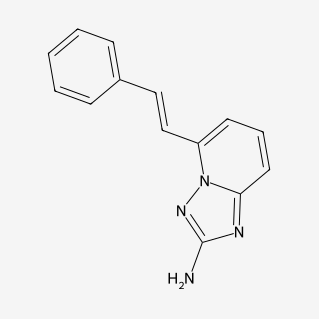 Nc1nc2cccc(C=Cc3ccccc3)n2n1